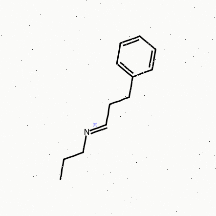 CCC/N=C/CCc1ccccc1